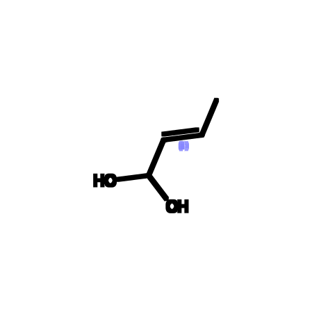 C/C=C/C(O)O